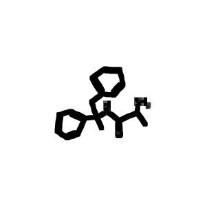 CC(N)C(=O)NC(C)(Cc1ccccc1)c1ccccc1